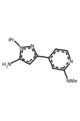 CNc1cc(-c2cc(N)n(C(C)C)n2)ccn1